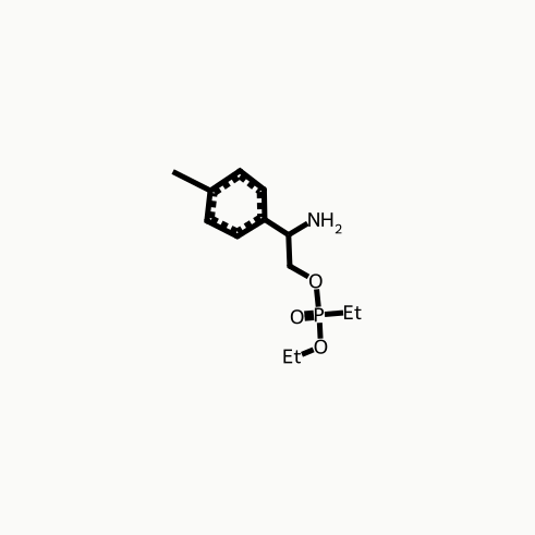 CCOP(=O)(CC)OCC(N)c1ccc(C)cc1